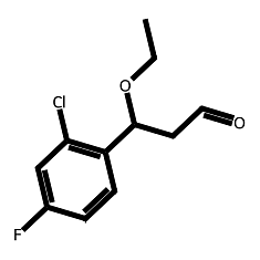 CCOC(CC=O)c1c[c]c(F)cc1Cl